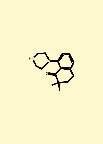 CC1(C)CCc2cccc(N3CCNCC3)c2C1=O